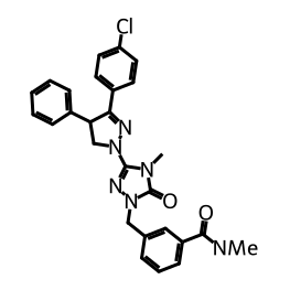 CNC(=O)c1cccc(Cn2nc(N3CC(c4ccccc4)C(c4ccc(Cl)cc4)=N3)n(C)c2=O)c1